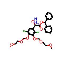 COCCOCOc1c(F)cc(C(ON)C(=O)OC(c2ccccc2)c2ccccc2)c(F)c1OCOCCOC